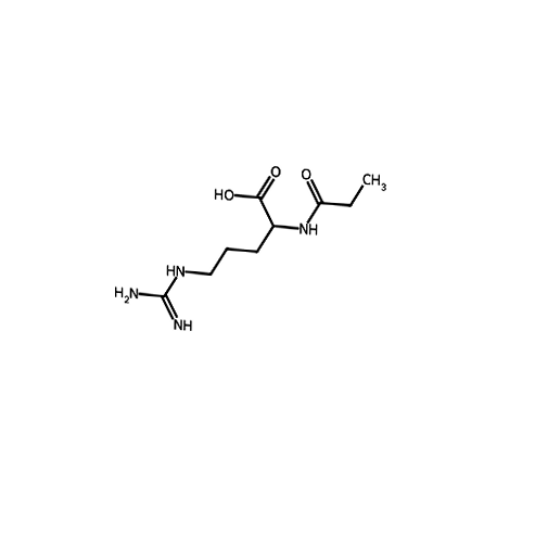 CCC(=O)NC(CCCNC(=N)N)C(=O)O